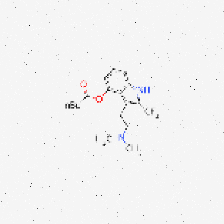 CCCCC(=O)Oc1cccc2[nH]c(C(F)(F)F)c(CCN(C)C)c12